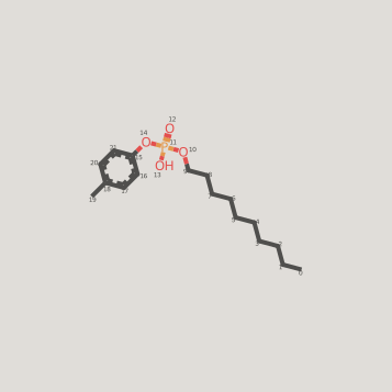 CCCCCCCCCCOP(=O)(O)Oc1ccc(C)cc1